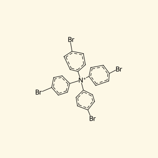 Brc1ccc([N+](c2ccc(Br)cc2)(c2ccc(Br)cc2)c2ccc(Br)cc2)cc1